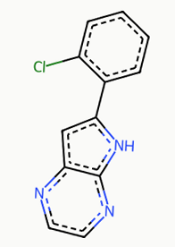 Clc1ccccc1-c1cc2nccnc2[nH]1